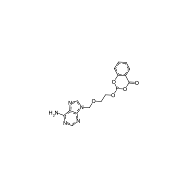 Nc1ncnc2c1ncn2COCCOP1OC(=O)c2ccccc2O1